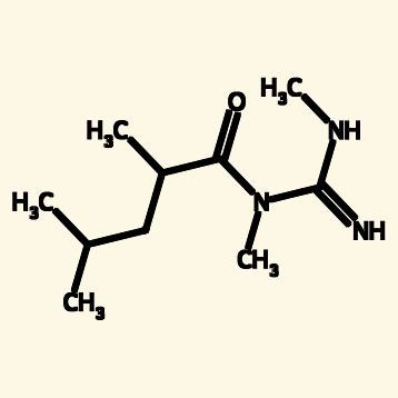 CNC(=N)N(C)C(=O)C(C)CC(C)C